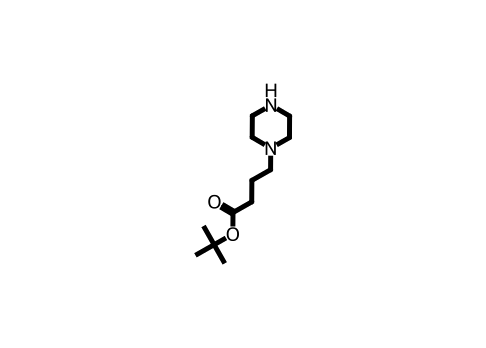 CC(C)(C)OC(=O)CCCN1CCNCC1